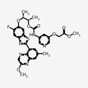 COC(=O)COc1cncc(NC(=O)O[C@H](C)[C@H](C)Oc2cc3sc(-c4cc(C)cc5nc(OC)cnc45)nc3cc2F)c1